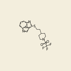 O=S(=O)(N1CCC(CCSc2nc3cccc4ncc2n43)CC1)C(F)(F)F